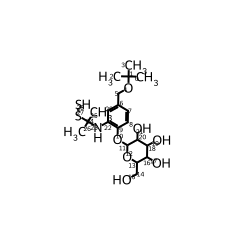 CC(C)(C)OCc1ccc(OC2OC(CO)C(O)C(O)C2O)c(NC(C)(C)SS)c1